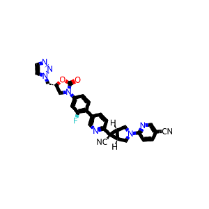 N#Cc1ccc(N2C[C@@H]3[C@H](C2)[C@@]3(C#N)c2ccc(-c3ccc(N4C[C@H](Cn5ccnn5)OC4=O)cc3F)cn2)nc1